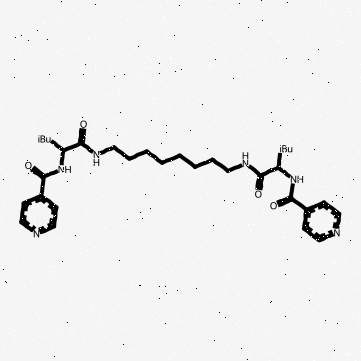 CCC(C)C(NC(=O)c1ccncc1)C(=O)NCCCCCCCCNC(=O)C(NC(=O)c1ccncc1)C(C)CC